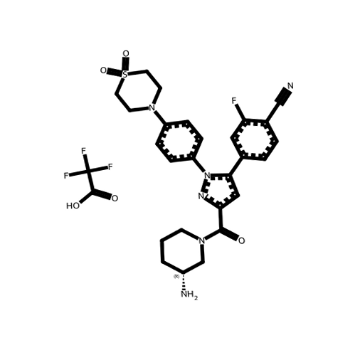 N#Cc1ccc(-c2cc(C(=O)N3CCC[C@@H](N)C3)nn2-c2ccc(N3CCS(=O)(=O)CC3)cc2)cc1F.O=C(O)C(F)(F)F